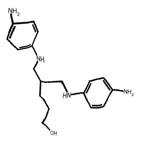 Nc1ccc(NCC(CCCO)CNc2ccc(N)cc2)cc1